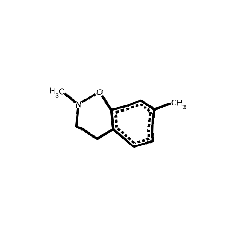 Cc1ccc2c(c1)ON(C)CC2